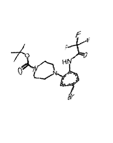 CC(C)(C)OC(=O)N1CCN(c2cc(Br)ccc2NC(=O)C(F)(F)F)CC1